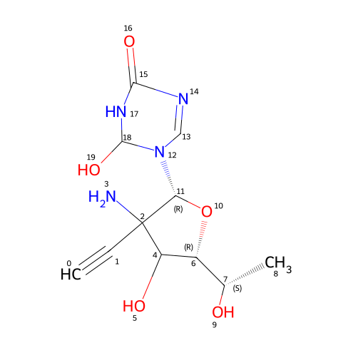 C#CC1(N)C(O)[C@@H]([C@H](C)O)O[C@H]1N1C=NC(=O)NC1O